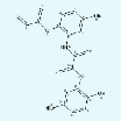 C=CC(=O)Oc1ccc(C(C)(C)C)cc1NC(=O)C(=O)Nc1cc(C(C)(C)C)ccc1O